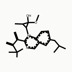 C=C(C(=C)C(C)(C)C)c1ncc2cc(CC(C)C)ccc2[n+]1C1C(C)C1(O)OC